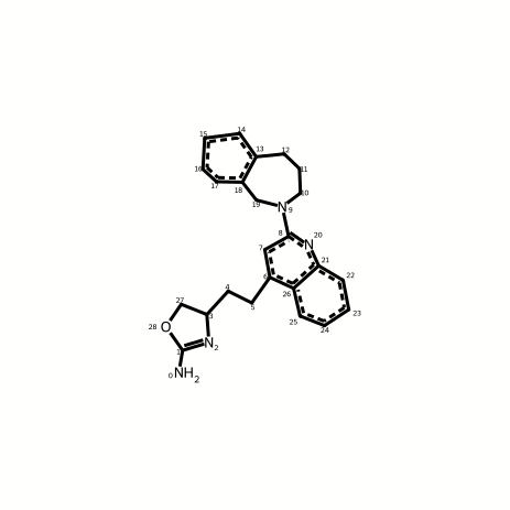 NC1=NC(CCc2cc(N3CCCc4ccccc4C3)nc3ccccc23)CO1